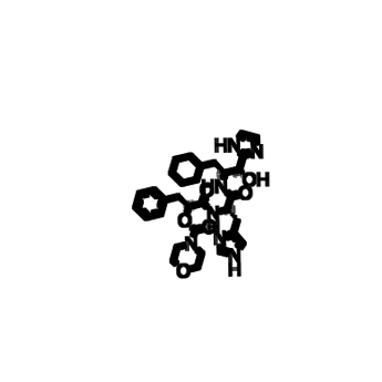 O=C(N[C@@H](CC1CCCCC1)[C@@H](O)c1ncc[nH]1)[C@H](Cc1c[nH]cn1)NC(=O)[C@H](Cc1ccccc1)OC(=O)N1CCOCC1